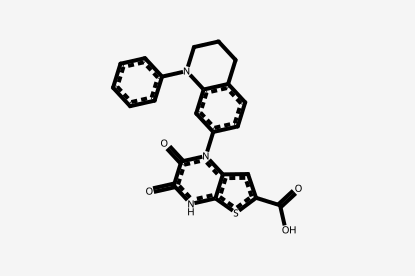 O=C(O)c1cc2c([nH]c(=O)c(=O)n2-c2ccc3c(c2)N(c2ccccc2)CCC3)s1